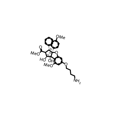 COC(=O)C1[C@H](O)[C@]2(O)c3c(OC)cc(OCCCCN)cc3O[C@]2(c2ccc(OC)cc2)[C@H]1c1ccccc1